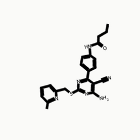 CCCC(=O)Nc1ccc(-c2nc(SCc3cccc(C)n3)nc(N)c2C#N)cc1